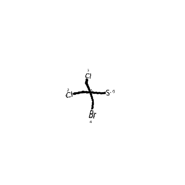 [S]C(Cl)(Cl)Br